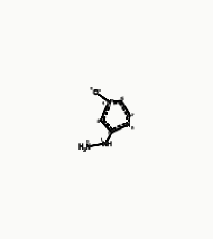 NNc1c[n+]([O-])ccn1